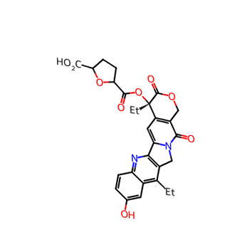 CCc1c2c(nc3ccc(O)cc13)-c1cc3c(c(=O)n1C2)COC(=O)[C@@]3(CC)OC(=O)C1CCC(C(=O)O)O1